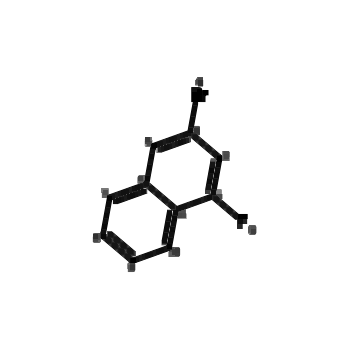 Fc1cc(Br)cc2ccccc12